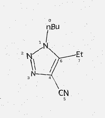 CCCCn1nnc(C#N)c1CC